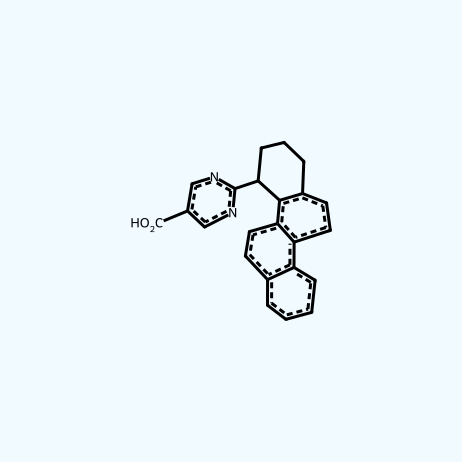 O=C(O)c1cnc(C2CCCc3ccc4c(ccc5ccccc54)c32)nc1